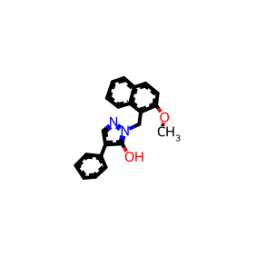 COc1ccc2ccccc2c1Cn1ncc(-c2ccccc2)c1O